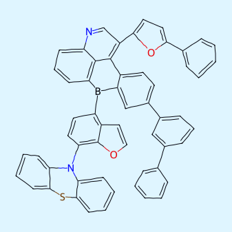 c1ccc(-c2cccc(-c3ccc4c(c3)B(c3ccc(N5c6ccccc6Sc6ccccc65)c5occc35)c3cccc5ncc(-c6ccc(-c7ccccc7)o6)c-4c35)c2)cc1